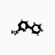 Nc1cccc(C2C=CN=CC2)n1